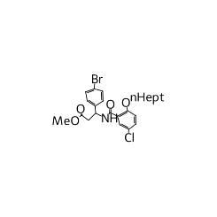 CCCCCCCOc1ccc(Cl)cc1C(=O)NC(CC(=O)OC)c1ccc(Br)cc1